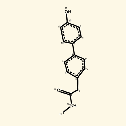 O=C(Cc1ccc(-c2ccc(O)cc2)cc1)NI